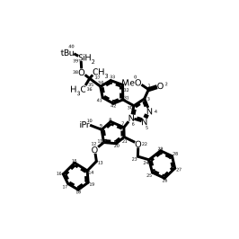 COC(=O)c1nnn(-c2cc(C(C)C)c(OCc3ccccc3)cc2OCc2ccccc2)c1-c1ccc(C(C)(C)O[SiH2]C(C)(C)C)cc1